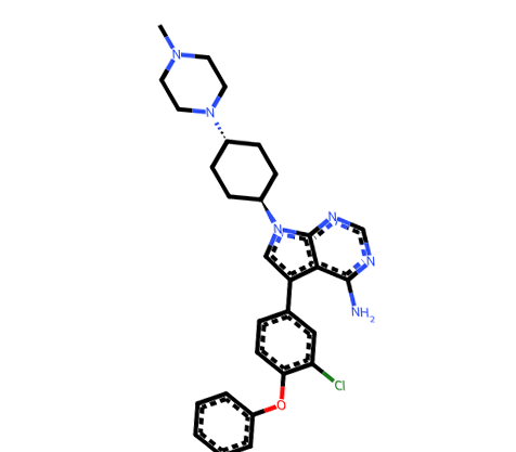 CN1CCN([C@H]2CC[C@H](n3cc(-c4ccc(Oc5ccccc5)c(Cl)c4)c4c(N)ncnc43)CC2)CC1